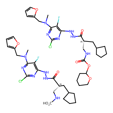 CN(Cc1ccco1)c1nc(Cl)nc(NNC(=O)[C@@H](CNC(=O)O)CC2CCCC2)c1F.CN(Cc1ccco1)c1nc(Cl)nc(NNC(=O)[C@@H](CNC(=O)OC2CCCCO2)CC2CCCC2)c1F